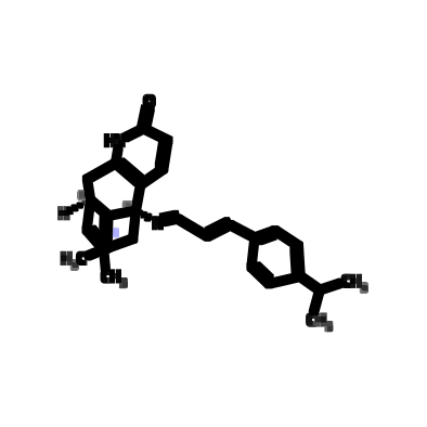 C/C=C1\[C@H]2C=C(C)C[C@]1(N=CC=Cc1ccc(C(C)C)cc1)c1ccc(=O)[nH]c1C2